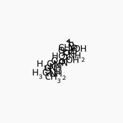 COc1cc(C(=O)N2CC3(CC3)CC2CO)c(N)c(C(O)c2ccc(NC(=O)C(C)NC(=O)[C@@H](N)C(C)C)cn2)c1O